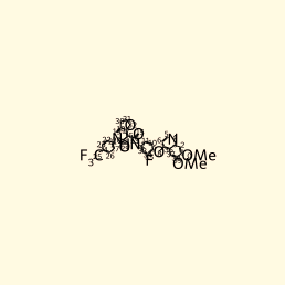 COc1cc2nccc(Oc3ccc(NC(=O)c4c5c(cn(-c6ccc(C(F)(F)F)cc6)c4=O)CCO5)cc3F)c2cc1OC